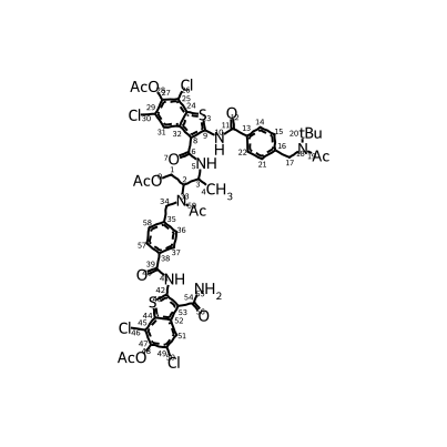 CC(=O)OCC(C(C)NC(=O)c1c(NC(=O)c2ccc(CN(C(C)=O)C(C)(C)C)cc2)sc2c(Cl)c(OC(C)=O)c(Cl)cc12)N(Cc1ccc(C(=O)Nc2sc3c(Cl)c(OC(C)=O)c(Cl)cc3c2C(N)=O)cc1)C(C)=O